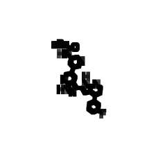 CCCCC(=O)Nc1cncc(-c2cnc3[nH]nc(-c4cc5c(-c6cccc(F)c6)ccnc5[nH]4)c3c2)c1